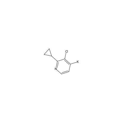 Clc1[c]([K])ccnc1C1CC1